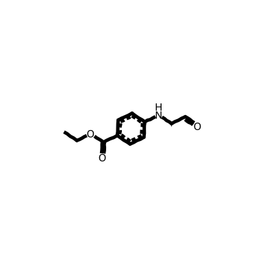 CCOC(=O)c1ccc(N[CH]C=O)cc1